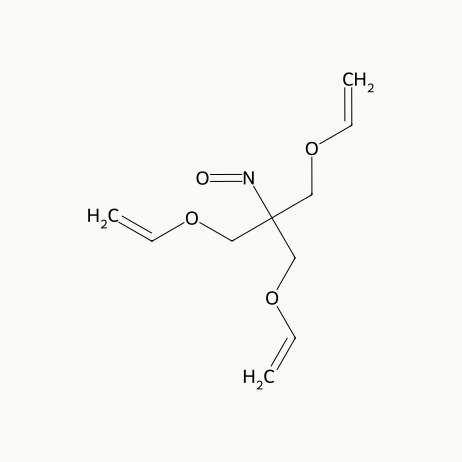 C=COCC(COC=C)(COC=C)N=O